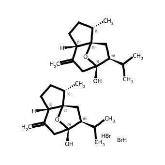 Br.Br.C=C1C[C@]2(O)O[C@@]3(C[C@H]2C(C)C)[C@@H](C)CC[C@@H]13.C=C1C[C@]2(O)O[C@@]3(C[C@H]2C(C)C)[C@@H](C)CC[C@@H]13